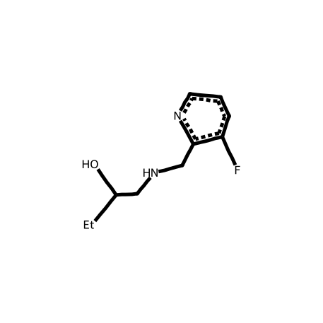 CCC(O)CNCc1ncccc1F